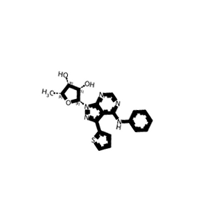 C[C@H]1O[C@@H](n2nc(-c3cccs3)c3c(Nc4ccccc4)ncnc32)[C@@H](O)[C@H]1O